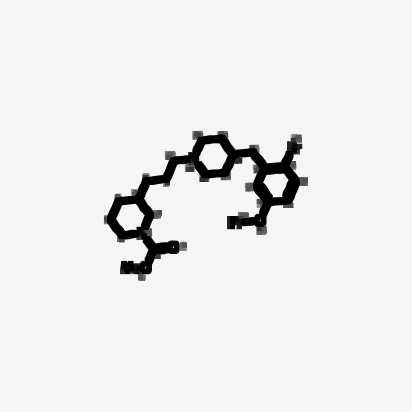 COC(=O)N1CCCC(CCCN2CCC(Cc3cc(OC(C)C)ccc3Br)CC2)C1